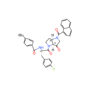 CC(C)(C)c1ccc(C(=O)N[C@@H](Cc2ccc(F)cc2)C(=O)N2CC[C@@H]3[C@H]2C(=O)CN3C(=O)c2cccc3ccccc23)cc1